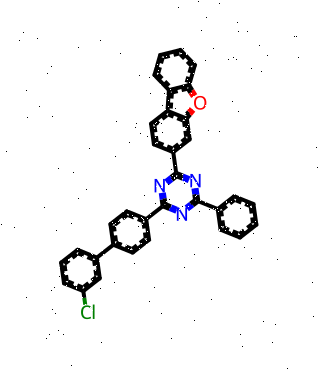 Clc1cccc(-c2ccc(-c3nc(-c4ccccc4)nc(-c4ccc5c(c4)oc4ccccc45)n3)cc2)c1